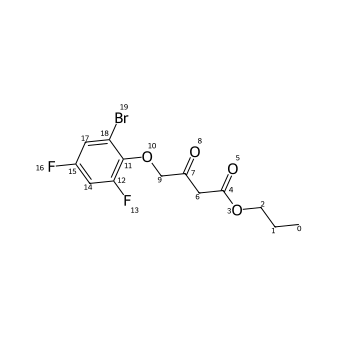 CCCOC(=O)CC(=O)COc1c(F)cc(F)cc1Br